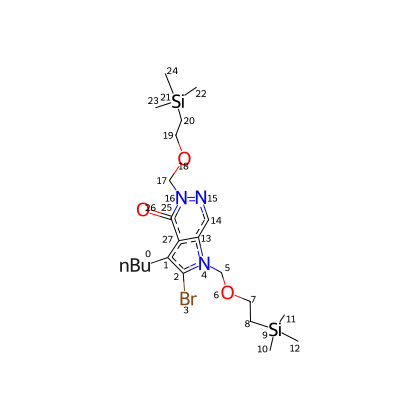 CCCCc1c(Br)n(COCC[Si](C)(C)C)c2cnn(COCC[Si](C)(C)C)c(=O)c12